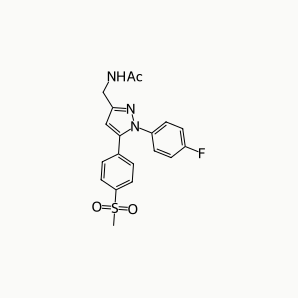 CC(=O)NCc1cc(-c2ccc(S(C)(=O)=O)cc2)n(-c2ccc(F)cc2)n1